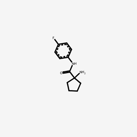 NC1(C(=O)Nc2ccc(F)cc2)CCCC1